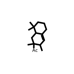 CC(=O)C1(C)CC2C(=CC1C)CCCC2(C)C